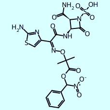 CC(C)(ON=C(C(=O)N[C@@H]1C(=O)N(S(=O)(=O)O)[C@@H]1C(N)=O)c1csc(N)n1)C(=O)OC(c1ccccc1)[N+](=O)[O-]